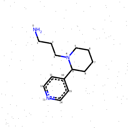 NCCCN1CCCCC1c1ccncc1